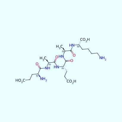 C[C@H](NC(=O)[C@H](CCC(=O)O)NC(=O)[C@H](C)NC(=O)[C@@H](N)CCC(=O)O)C(=O)N[C@@H](CCCCN)C(=O)O